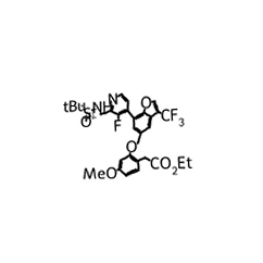 CCOC(=O)Cc1ccc(OC)cc1OCc1cc(-c2ccnc(CN[S@+]([O-])C(C)(C)C)c2F)c2occ(C(F)(F)F)c2c1